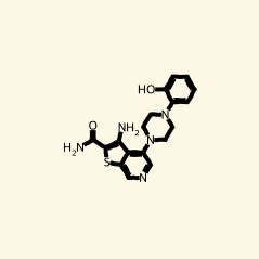 NC(=O)c1sc2cncc(N3CCN(c4ccccc4O)CC3)c2c1N